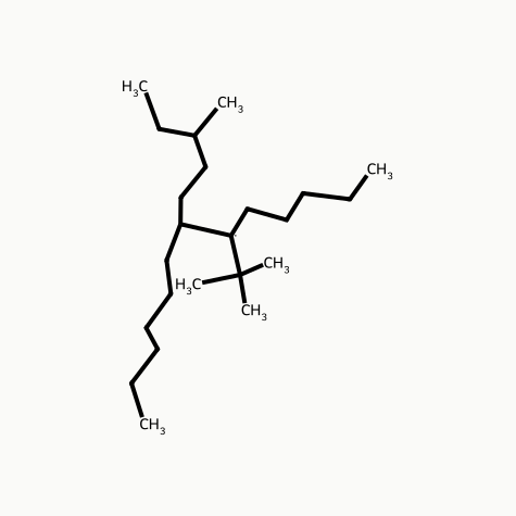 CCCCCCC(CCC(C)CC)[C](CCCCC)C(C)(C)C